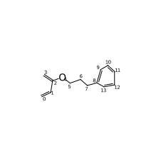 C=CC(=C)OCCCc1ccccc1